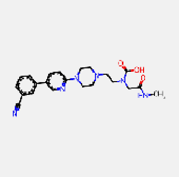 CNC(=O)CN(CCN1CCN(c2ccc(-c3cccc(C#N)c3)cn2)CC1)C(=O)O